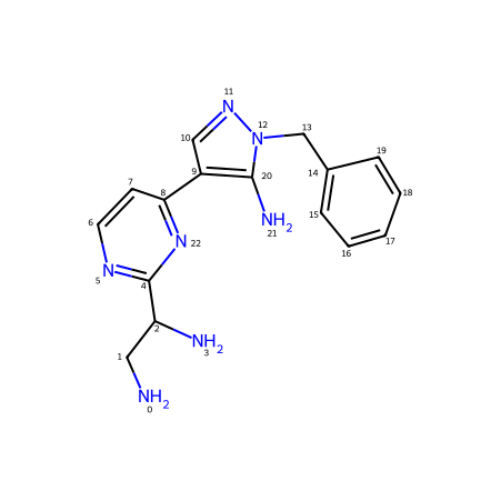 NCC(N)c1nccc(-c2cnn(Cc3ccccc3)c2N)n1